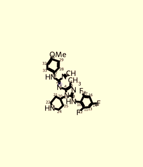 C#[N+]/C(=N\c1c(C)nc(Nc2c(F)cc(F)cc2F)n1C1CCNCC1)Nc1ccc(OC)cc1